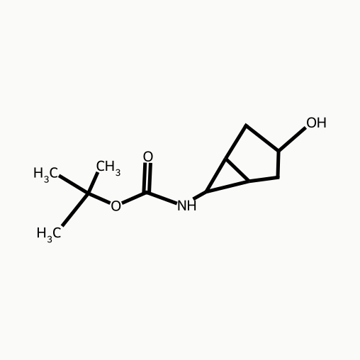 CC(C)(C)OC(=O)NC1C2CC(O)CC21